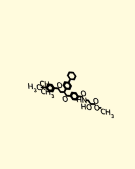 CCOC(=O)C(O)CNC(=O)c1ccc(C(=O)C(CC(=O)c2ccc(C(C)(C)C)cc2)c2ccc(C3CCCCC3)cc2)cc1